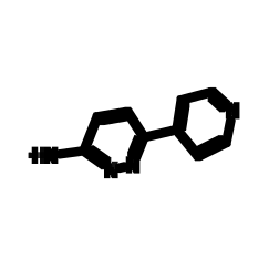 [NH]c1ccc(-c2ccncc2)nn1